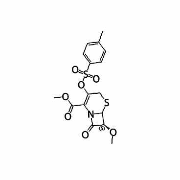 COC(=O)C1=C(OS(=O)(=O)c2ccc(C)cc2)CSC2[C@@H](OC)C(=O)N12